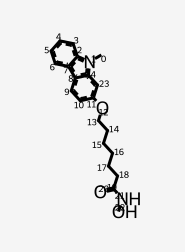 Cn1c2ccccc2c2ccc(OCCCCCCC(=O)NO)cc21